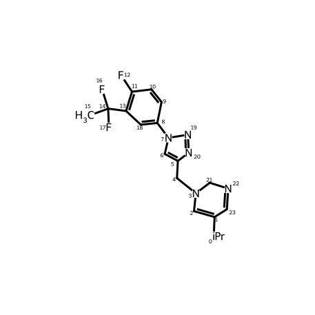 CC(C)C1=CN(Cc2cn(-c3ccc(F)c(C(C)(F)F)c3)nn2)CN=C1